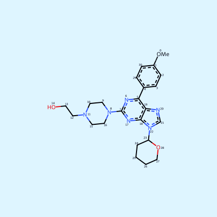 COc1ccc(-c2nc(N3CCN(CCO)CC3)nc3c2ncn3C2CCCCO2)cc1